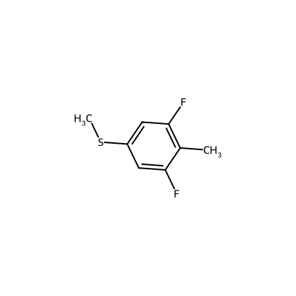 CSc1cc(F)c(C)c(F)c1